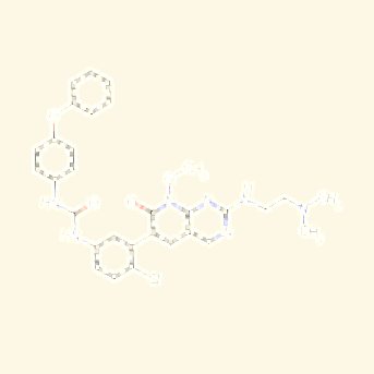 COn1c(=O)c(-c2cc(NC(=O)Nc3ccc(Oc4ccccc4)cc3)ccc2Cl)cc2cnc(NCCN(C)C)nc21